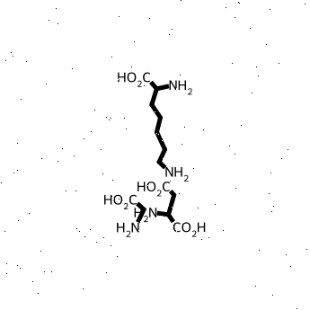 NC(CC(=O)O)C(=O)O.NCC(=O)O.NCCCCCC(N)C(=O)O